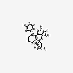 CCC1(CC)CC(P(=O)(O)O)C(=O)N2[C@H](c3cccc(F)c3)CCC[C@@H]21